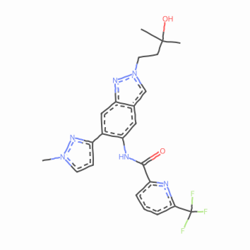 Cn1ccc(-c2cc3nn(CCC(C)(C)O)cc3cc2NC(=O)c2cccc(C(F)(F)F)n2)n1